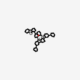 c1ccc(-c2ccc3c(c2)c2ccc4c5cc(-c6ccccc6)ccc5n(-c5ccc(-c6cccc7c6oc6ccccc67)cc5)c4c2n3-c2ccccc2)cc1